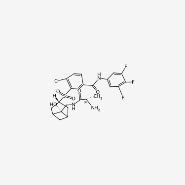 C[C@H](N)C(=O)NC[C@]1(O)C2CC1C[C@@H](S(=O)(=O)c1cc(C(=O)Nc3cc(F)c(F)c(F)c3)ccc1Cl)C2